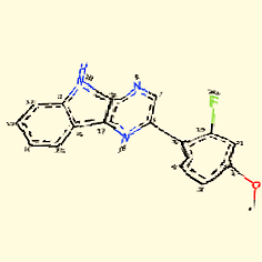 COc1ccc(-c2cnc3[nH]c4ccccc4c3n2)c(F)c1